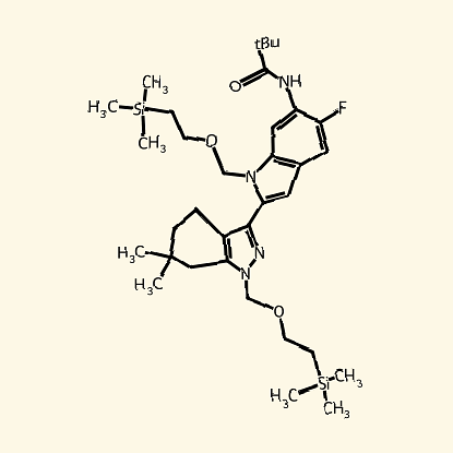 CC1(C)CCc2c(-c3cc4cc(F)c(NC(=O)C(C)(C)C)cc4n3COCC[Si](C)(C)C)nn(COCC[Si](C)(C)C)c2C1